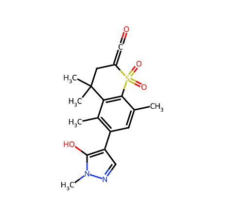 Cc1cc(-c2cnn(C)c2O)c(C)c2c1S(=O)(=O)C(=C=O)CC2(C)C